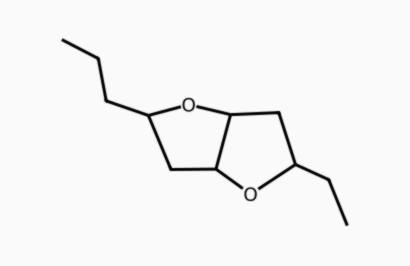 CCCC1CC2OC(CC)CC2O1